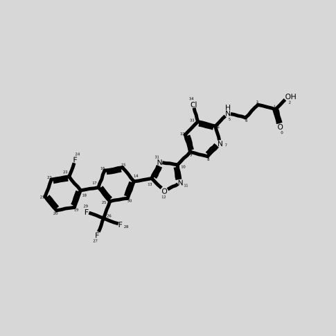 O=C(O)CCNc1ncc(-c2noc(-c3ccc(-c4ccccc4F)c(C(F)(F)F)c3)n2)cc1Cl